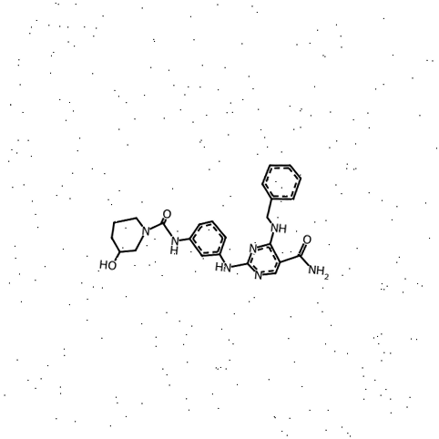 NC(=O)c1cnc(Nc2cccc(NC(=O)N3CCCC(O)C3)c2)nc1NCc1ccccc1